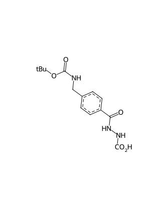 CC(C)(C)OC(=O)NCc1ccc(C(=O)NNC(=O)O)cc1